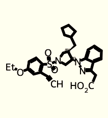 C#Cc1cc(OCC)ccc1S(=O)(=O)N1C[C@@H](CC2CCCC2)[C@@H](n2nc(CC(=O)O)c3ccccc32)C1